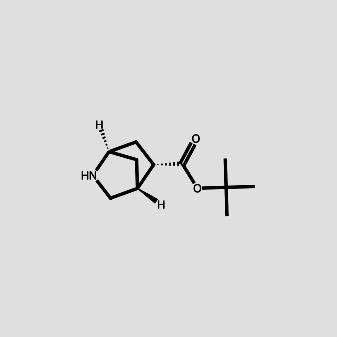 CC(C)(C)OC(=O)[C@H]1C[C@H]2C[C@H]1CN2